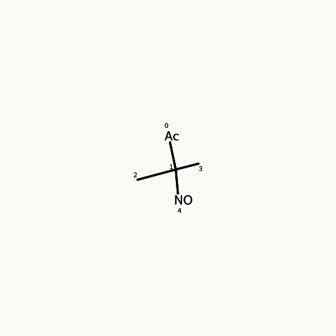 CC(=O)C(C)(C)N=O